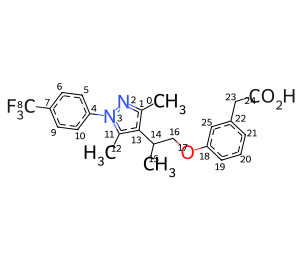 Cc1nn(-c2ccc(C(F)(F)F)cc2)c(C)c1C(C)COc1cccc(CC(=O)O)c1